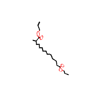 CCCOC(=O)CCCCCCCCCCCC(C)C(=O)OCCC